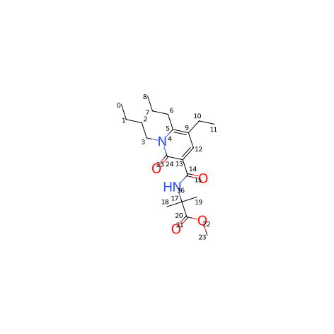 CCCCn1c(CCC)c(CC)cc(C(=O)NC(C)(C)C(=O)OC)c1=O